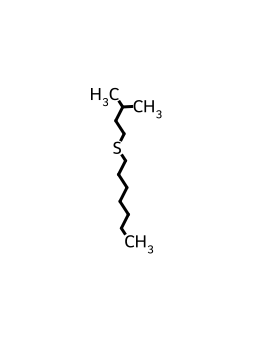 CCCCCCCSCCC(C)C